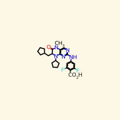 CN1C(=O)C(CC2CCCC2)N(C2CCCC2)c2nc(Nc3cc(F)c(C(=O)O)c(F)c3)ncc21